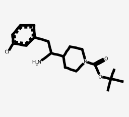 CC(C)(C)OC(=O)N1CCC(C(N)Cc2cccc(Cl)c2)CC1